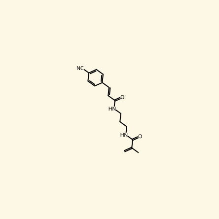 C=C(C)C(=O)NCCCNC(=O)/C=C/c1ccc(C#N)cc1